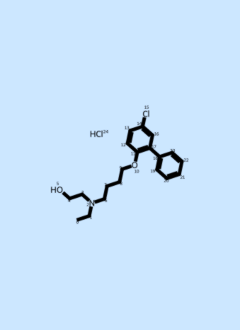 CCN(CCO)CCCCOc1ccc(Cl)cc1-c1ccccc1.Cl